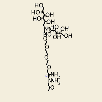 CC(=O)CN(N)/C=C(\N)COCCOCCOCCOCCN(C[C@H](O)[C@@H](O)[C@H](O)[C@H](O)CO)C[C@H](O)[C@@H](O)[C@H](O)[C@H](O)CO